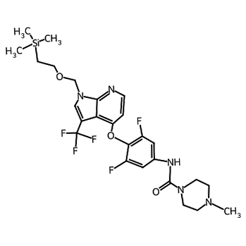 CN1CCN(C(=O)Nc2cc(F)c(Oc3ccnc4c3c(C(F)(F)F)cn4COCC[Si](C)(C)C)c(F)c2)CC1